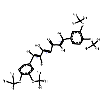 [2H]/C(C(=O)/C=C(O)/C([2H])=C(\[2H])c1ccc(OC([2H])([2H])[2H])c(OC([2H])([2H])[2H])c1)=C(/[2H])c1ccc(OC([2H])([2H])[2H])c(OC([2H])([2H])[2H])c1